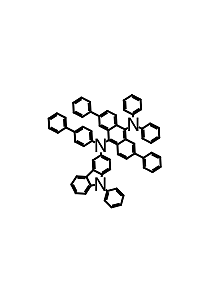 c1ccc(-c2ccc(N(c3ccc4c(c3)c3ccccc3n4-c3ccccc3)c3c4ccc(-c5ccccc5)cc4c(N(c4ccccc4)c4ccccc4)c4ccc(-c5ccccc5)cc34)cc2)cc1